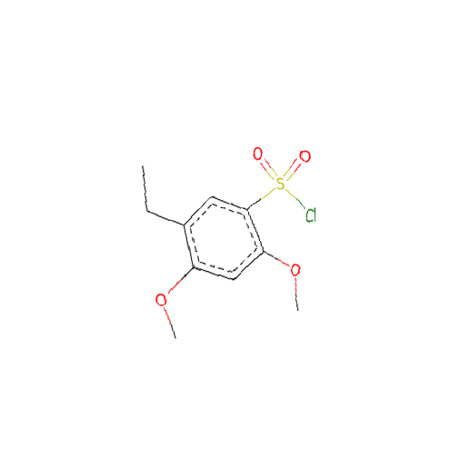 CCc1cc(S(=O)(=O)Cl)c(OC)cc1OC